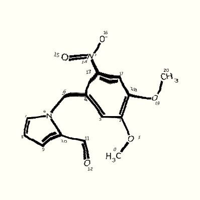 COc1cc(Cn2cccc2C=O)c([N+](=O)[O-])cc1OC